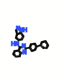 c1ccc(-c2ccc(-c3nc(Nc4ccc5[nH]ncc5c4)c4ccccc4n3)cc2)cc1